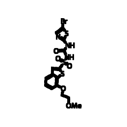 COCCOc1cccc2cc(S(=O)(=O)NC(=O)Nc3ncc(Br)s3)sc12